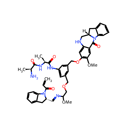 C=CC(=O)N1c2ccccc2C[C@H]1C=NC(COCc1cc(COc2cc3c(cc2OC)C(=O)N2c4ccccc4C[C@H]2CN3)cc(NC(=O)[C@H](C)NC(=O)[C@H](C)N)c1)OC